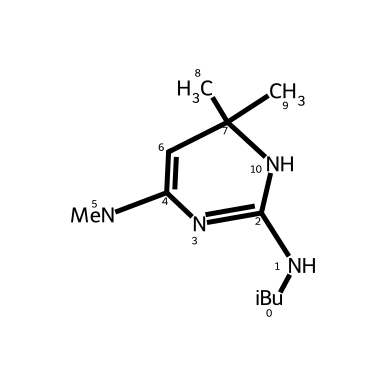 CCC(C)NC1=NC(NC)=CC(C)(C)N1